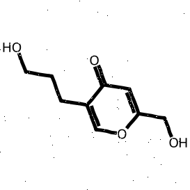 O=c1cc(CO)occ1CCCO